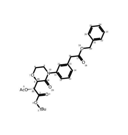 CC(=O)O[C@@H](C(=O)OC(C)(C)C)[C@H]1OCCN(c2cccc(CC(=O)OCc3ccccc3)c2)C1=O